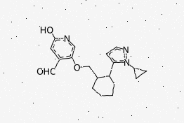 O=Cc1cc(O)ncc1OCC1CCCCC1c1ccnn1C1CC1